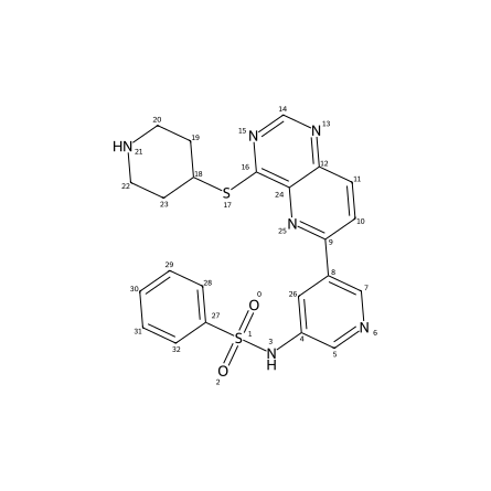 O=S(=O)(Nc1cncc(-c2ccc3ncnc(SC4CCNCC4)c3n2)c1)c1ccccc1